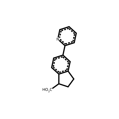 O=C(O)C1CCc2cc(-c3ccccn3)ccc21